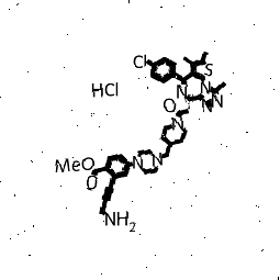 COC(=O)c1ccc(N2CCN(CC3CCN(C(=O)C[C@@H]4N=C(c5ccc(Cl)cc5)c5c(sc(C)c5C)-n5c(C)nnc54)CC3)CC2)cc1C#CCN.Cl